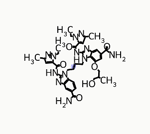 CCn1nc(C)cc1C(=O)Nc1nc2cc(C(N)=O)ccc2n1C/C=C/Cn1c(NC(=O)c2cc(C)nn2CC)nc2cc(C(N)=O)cc(OCC(C)CO)c21